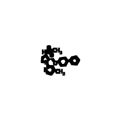 Cc1ccnc(N2CC[C@H](NS(C)(=O)=O)[C@@H]2COC2CCC(c3ccccc3)CC2)c1